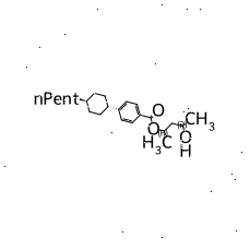 CCCCC[C@H]1CC[C@H](c2ccc(C(=O)O[C@H](C)C[C@@H](C)O)cc2)CC1